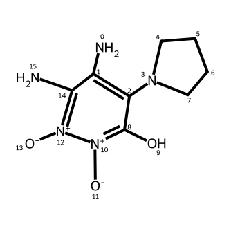 Nc1c(N2CCCC2)c(O)[n+]([O-])[n+]([O-])c1N